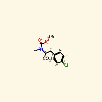 CN(C(=O)OC(C)(C)C)C(Cc1ccc(Cl)cc1)C(=O)O